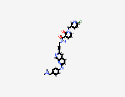 CN(C)Cc1ccc(Nc2ccc3cc(C#CCNC(=O)c4cccn(Cc5ccc(Cl)nc5)c4=O)ncc3n2)cc1